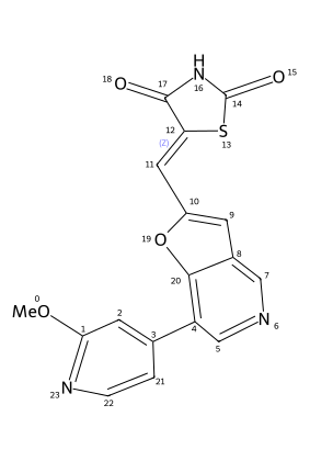 COc1cc(-c2cncc3cc(/C=C4\SC(=O)NC4=O)oc23)ccn1